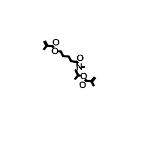 C=C(C)C(=O)OCCCCC(=O)N(C)CC(C)OC(=O)C(=C)C